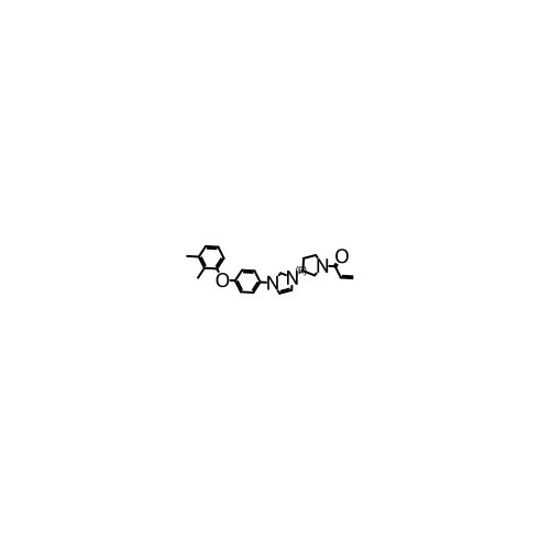 C=CC(=O)N1CC[C@@H](N2C=CN(c3ccc(Oc4cccc(C)c4C)cc3)C2)C1